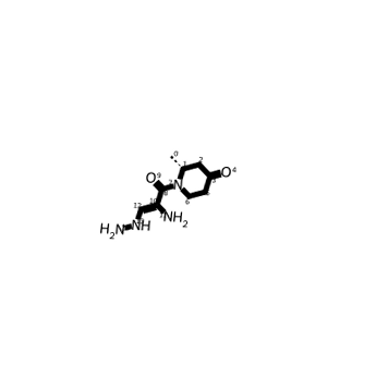 C[C@@H]1CC(=O)CCN1C(=O)/C(N)=C/NN